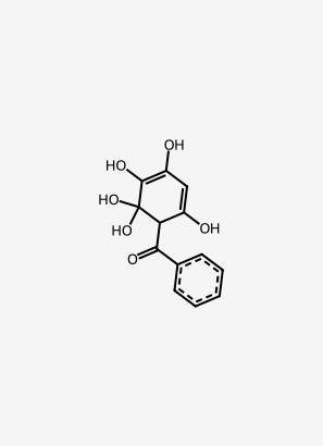 O=C(c1ccccc1)C1C(O)=CC(O)=C(O)C1(O)O